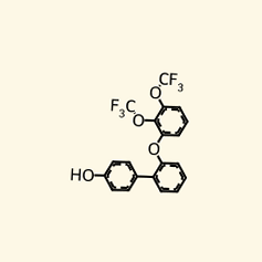 Oc1ccc(-c2ccccc2Oc2cccc(OC(F)(F)F)c2OC(F)(F)F)cc1